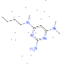 CCCCN(C)c1cc(N(C)C)nc(N)n1